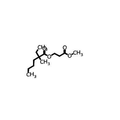 CCCCC(C)(CC)C(=O)OCCC(=O)OC